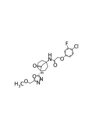 COCc1nnc([C@@]23CCCC(NC(=O)COc4ccc(Cl)c(F)c4)(CC2)CC3=O)o1